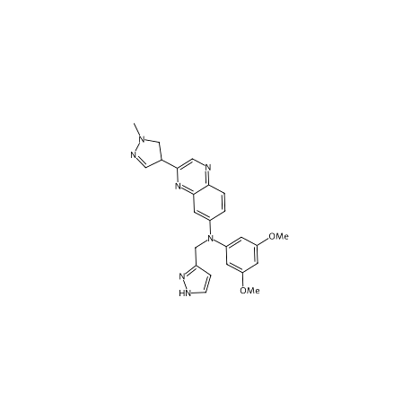 COc1cc(OC)cc(N(Cc2cc[nH]n2)c2ccc3ncc(C4C=NN(C)C4)nc3c2)c1